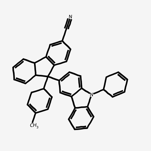 CC1=CCC(C2(c3ccc4c(c3)c3ccccc3n4C3C=CC=CC3)c3ccc(C#N)cc3C3C=CC=CC32)C=C1